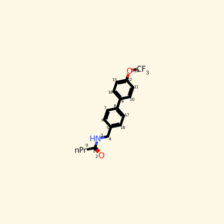 CCCC(=O)NCc1ccc(-c2ccc(OC(F)(F)F)cc2)cc1